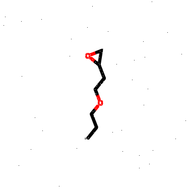 [CH2]CCOCCC1CO1